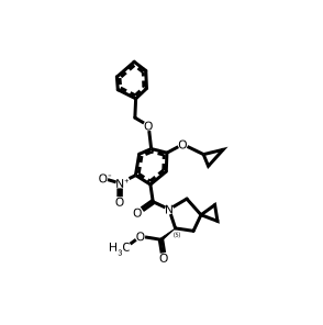 COC(=O)[C@@H]1CC2(CC2)CN1C(=O)c1cc(OC2CC2)c(OCc2ccccc2)cc1[N+](=O)[O-]